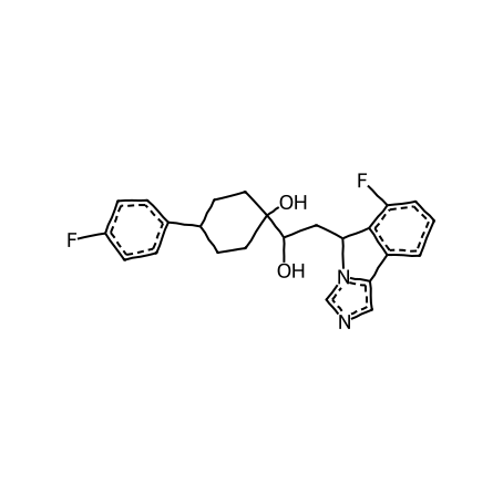 OC(CC1c2c(F)cccc2-c2cncn21)C1(O)CCC(c2ccc(F)cc2)CC1